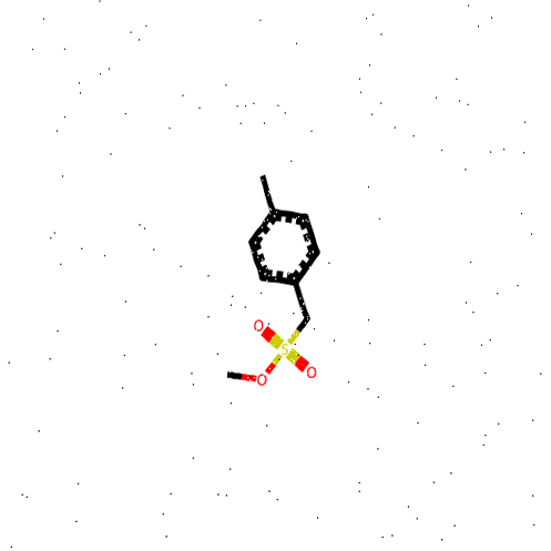 COS(=O)(=O)Cc1ccc(C)cc1